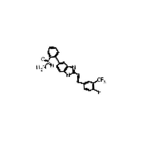 NS(=O)(=O)c1ccccc1-c1ccc2[nH]c(/C=C/c3ccc(F)c(C(F)(F)F)c3)nc2c1